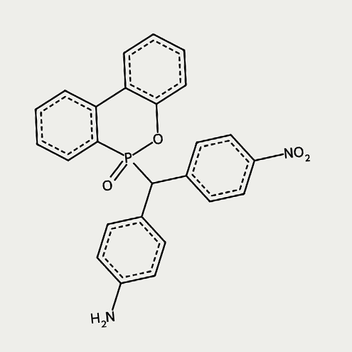 Nc1ccc(C(c2ccc([N+](=O)[O-])cc2)P2(=O)Oc3ccccc3-c3ccccc32)cc1